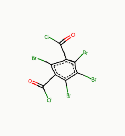 O=C(Cl)c1c(Br)c(Br)c(Br)c(C(=O)Cl)c1Br